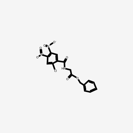 O=C(CNC(=O)c1cc([N+](=O)[O-])c([N+](=O)[O-])cc1Cl)OCc1ccccc1